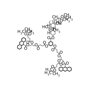 C[C@H](CCC(=O)OC(C)(C)C)[C@H]1CC[C@@H]2[C@@H]3[C@H](O)C[C@@H]4C[C@H](OC(=O)c5cc(OC(=O)CCC(=O)OCC(COC(=O)c6c7ccccc7cc7ccccc67)OC(=O)CCC(=O)OC(C)(C)C)cc(OC(=O)CCC(=O)OCC(COC(=O)c6c7ccccc7cc7ccccc67)OC(=O)CCC(=O)OC(C)(C)C)c5)CC[C@]4(C)[C@H]3C[C@H](O)[C@@]21C